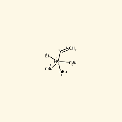 C=C[SH](CC)(CCCC)(CCCC)CCCC